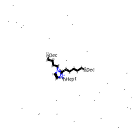 CCCCCCCCCCCCCCCc1n(CCCCCCCCCCCCCC)cc[n+]1CCCCCCC